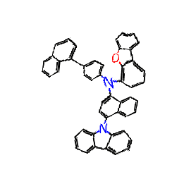 c1ccc2c(-c3ccc(N(c4ccc(-n5c6ccccc6c6ccccc65)c5ccccc45)c4cccc5c4oc4ccccc45)cc3)cccc2c1